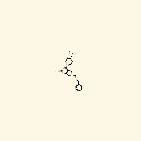 C[C@@]1(O[Si](C)(C)C)CCCN(c2nc(Cl)nc3c2CN(C(=O)OCc2ccccc2)C3)C1